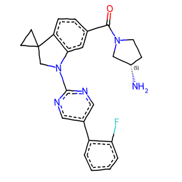 N[C@H]1CCN(C(=O)c2ccc3c(c2)N(c2ncc(-c4ccccc4F)cn2)CC32CC2)C1